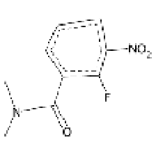 CN(C)C(=O)c1cccc([N+](=O)[O-])c1F